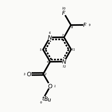 CC(C)(C)OC(=O)c1cnc(C(F)F)cn1